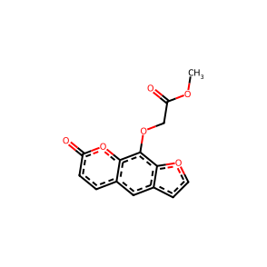 COC(=O)COc1c2occc2cc2ccc(=O)oc12